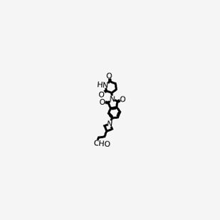 O=CCCC1CN(c2ccc3c(c2)C(=O)N(C2CCC(=O)NC2=O)C3=O)C1